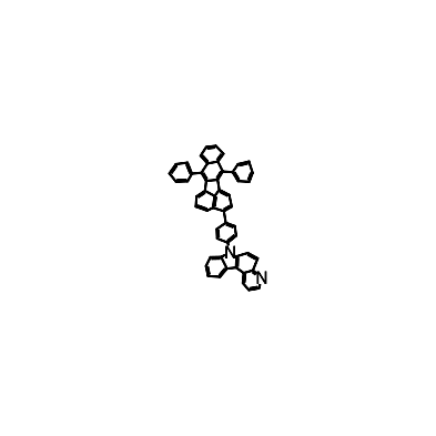 c1ccc(-c2c3c(c(-c4ccccc4)c4ccccc24)-c2ccc(-c4ccc(-n5c6ccccc6c6c7cccnc7ccc65)cc4)c4cccc-3c24)cc1